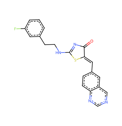 O=C1N=C(NCCc2cccc(F)c2)S/C1=C\c1ccc2ncncc2c1